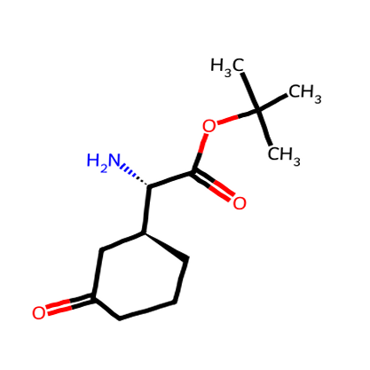 CC(C)(C)OC(=O)[C@@H](N)[C@H]1CCCC(=O)C1